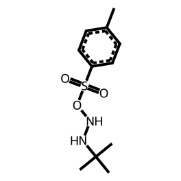 Cc1ccc(S(=O)(=O)ONNC(C)(C)C)cc1